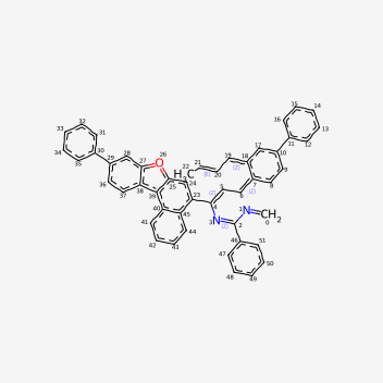 C=N\C(=N/C(=C\C=c1\ccc(-c2ccccc2)c\c1=C\C=C\C)c1cc2oc3cc(-c4ccccc4)ccc3c2c2ccccc12)c1ccccc1